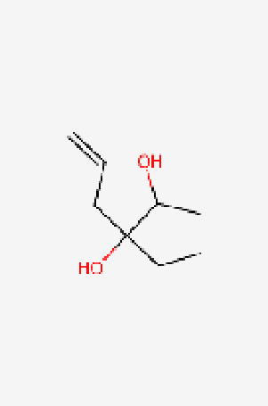 [CH]=CCC(O)(CC)C(C)O